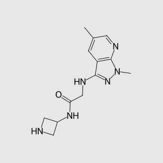 Cc1cnc2c(c1)c(NCC(=O)NC1CNC1)nn2C